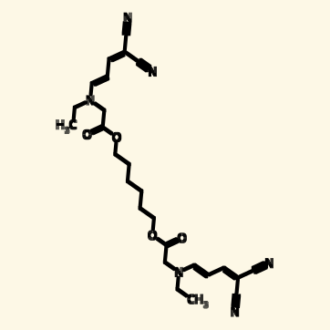 CCN(/C=C/C=C(C#N)C#N)CC(=O)OCCCCCCOC(=O)CN(/C=C/C=C(C#N)C#N)CC